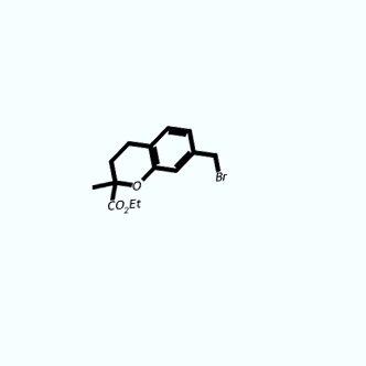 CCOC(=O)C1(C)CCc2ccc(CBr)cc2O1